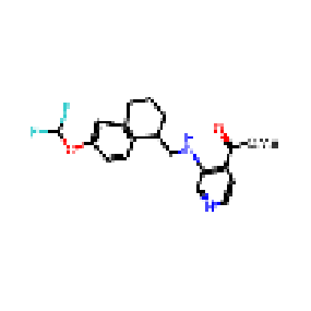 COC(=O)c1ccncc1NCC1CCCc2cc(OC(F)F)ccc21